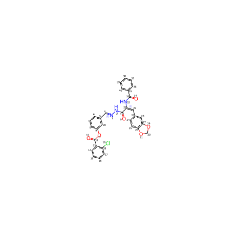 O=C(N/N=C/c1cccc(OC(=O)c2ccccc2Cl)c1)/C(=C\c1ccc2c(c1)OCO2)NC(=O)c1ccccc1